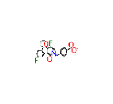 COC(=O)c1ccc(Cn2cc(F)c(C3(c4ccc(F)cc4)CCCO3)cc2=O)cc1